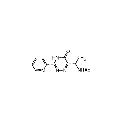 CC(=O)NC(C)c1nnc(-c2ccccn2)[nH]c1=O